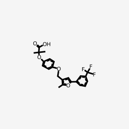 Cc1oc(-c2cccc(C(F)(F)F)c2)cc1COc1ccc(OC(C)(C)C(=O)O)cc1